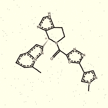 Cc1cccc2cc([C@@H]3c4nc[nH]c4CCN3C(=O)c3nnc(-c4cnn(C)c4)o3)nn12